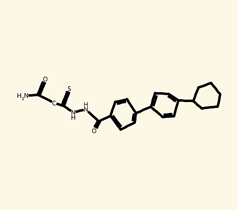 NC(=O)CC(=S)NNC(=O)c1ccc(-c2ccc(C3CCCCC3)cc2)cc1